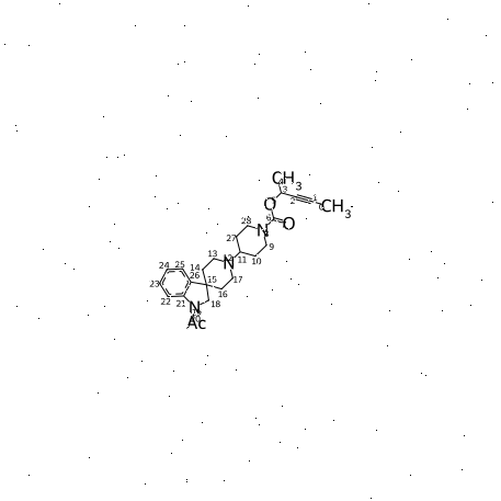 CC#CC(C)OC(=O)N1CCC(N2CCC3(CC2)CN(C(C)=O)c2ccccc23)CC1